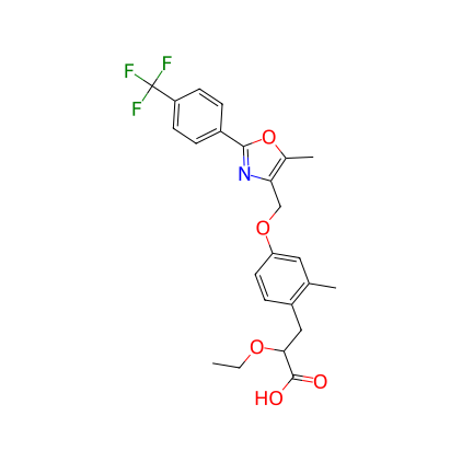 CCOC(Cc1ccc(OCc2nc(-c3ccc(C(F)(F)F)cc3)oc2C)cc1C)C(=O)O